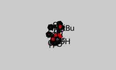 CC(=O)O[C@@]12CO[C@@H]1C[C@H](C)[C@@]1(C)C(=O)[C@H](O)C3=C(C)[C@@H](OC(=O)[C@H](O[Si](C)(C)C(C)(C)C)[C@@H](NC(=O)c4ccccc4)c4ccccc4)C[C@@](O)([C@@H](OC(=O)c4ccccc4)[C@H]21)C3(C)C